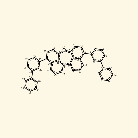 c1ccc(-c2cccc(-c3ccc4oc5ccc(-c6cccc(-c7ccccc7)c6)c6cccc(c7cccc3c47)c56)c2)cc1